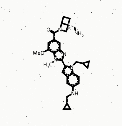 COc1cc(C(=O)N2C[C@]3(CN)CCC23)cc2nc(-c3cc4cc(NCC5CC5)ccc4n3CC3CC3)n(C)c12